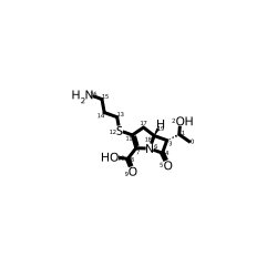 CC(O)[C@@H]1C(=O)N2C(C(=O)O)=C(SCCCN)C[C@H]12